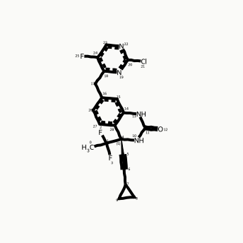 CC(F)(F)[C@@]1(C#CC2CC2)NC(=O)Nc2cc(Cc3nc(Cl)ncc3F)ccc21